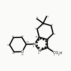 CC1(C)CCc2c(C(=O)O)nn(C3CCCCO3)c2C1